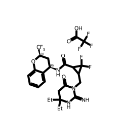 CCC1(CC)CC(=O)N(CC2C(C(=O)N[C@@H]3C[C@H](C(F)(F)F)Oc4ccccc43)C2(F)F)C(=N)N1.O=C(O)C(F)(F)F